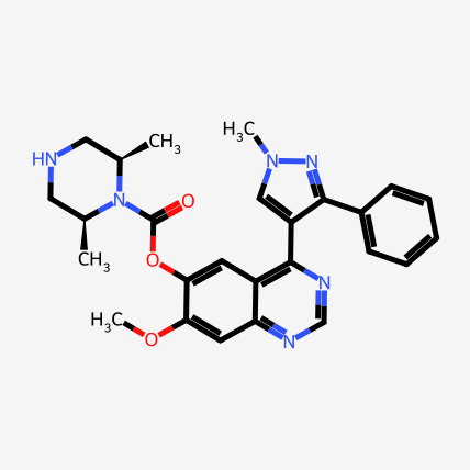 COc1cc2ncnc(-c3cn(C)nc3-c3ccccc3)c2cc1OC(=O)N1[C@H](C)CNC[C@@H]1C